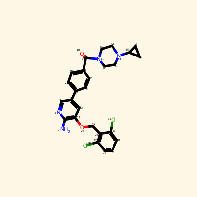 Nc1ncc(-c2ccc(C(=O)N3CCN(C4CC4)CC3)cc2)cc1OCc1c(Cl)cccc1Cl